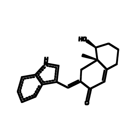 C[C@]12CC(=Cc3c[nH]c4ccccc34)C(=O)C=C1CCC[C@@H]2O